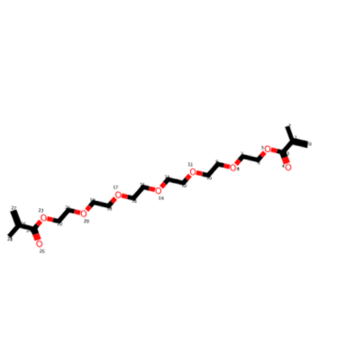 C=C(C)C(=O)OCCOCCOCCOCCOCCOCCOC(=O)C(=C)C